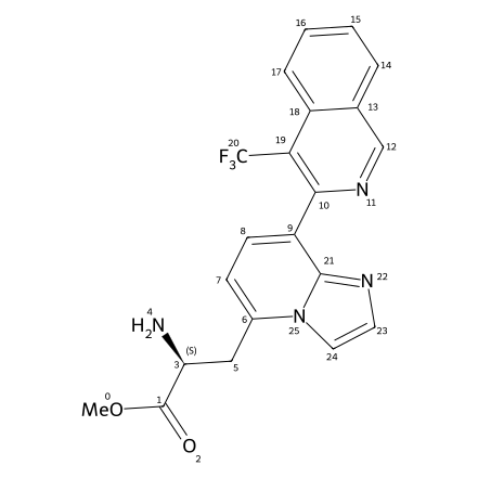 COC(=O)[C@@H](N)Cc1ccc(-c2ncc3ccccc3c2C(F)(F)F)c2nccn12